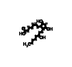 CCCCCC(O)CSC1C(O)CC(O)C1C/C=C\CCCC(=O)O